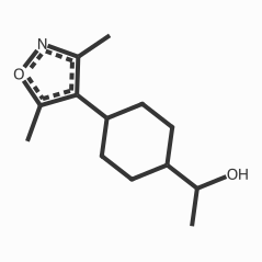 Cc1noc(C)c1C1CCC(C(C)O)CC1